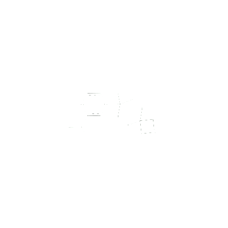 CC(C)c1cccc(C2(O)CCC3(CC2)CNC3)c1